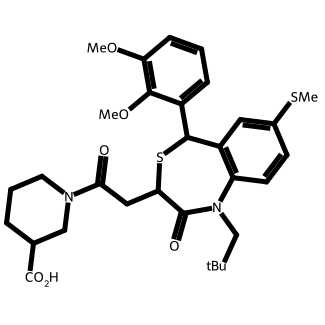 COc1cccc(C2SC(CC(=O)N3CCCC(C(=O)O)C3)C(=O)N(CC(C)(C)C)c3ccc(SC)cc32)c1OC